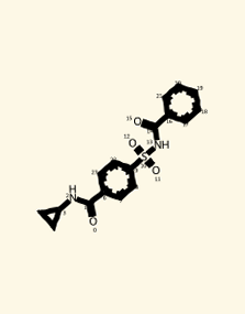 O=C(NC1CC1)c1ccc(S(=O)(=O)NC(=O)c2ccccc2)cc1